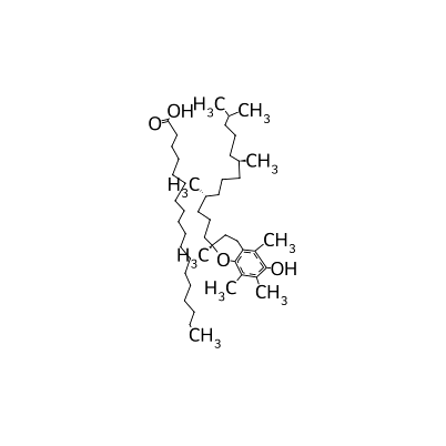 CCCCCCCCCCCCCCCCCC(=O)O.Cc1c(C)c2c(c(C)c1O)CC[C@@](C)(CCC[C@H](C)CCC[C@H](C)CCCC(C)C)O2